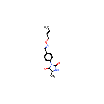 CC=CCON=Cc1ccc(N2C(=O)NC(C)C2=O)cc1